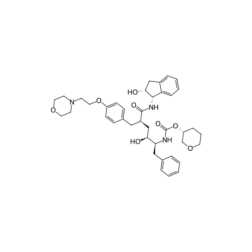 O=C(N[C@@H](Cc1ccccc1)[C@@H](O)C[C@@H](Cc1ccc(OCCN2CCOCC2)cc1)C(=O)N[C@H]1c2ccccc2C[C@H]1O)O[C@@H]1CCCOC1